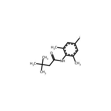 Cc1cc(I)cc(C)c1NC(=O)CC(C)(C)C